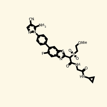 COCCS(=O)(=O)C(C(=O)NCC(=O)NC1CC1)c1nc2cc(F)c(-c3ccc(-n4ncc(C#N)c4N)cc3)cc2s1